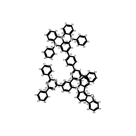 c1ccc(-c2cc(-c3ccc(-c4cc5c6c(c4)N(c4ccccc4)c4ccccc4B6c4ccccc4N5c4ccccc4)cc3)nc(-c3cc(-c4nc(-c5ccccc5)nc(-c5ccccc5)n4)ccc3-n3c4ccccc4c4c5oc6ccccc6c5ccc43)n2)cc1